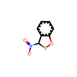 O=[N+]([O-])C1SOc2ccccc21